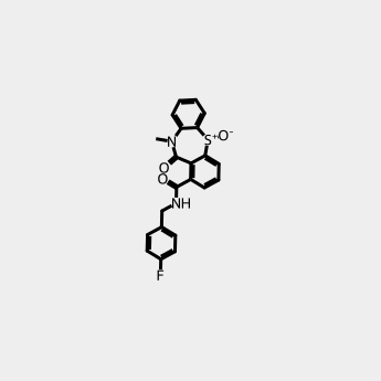 CN1C(=O)c2c(C(=O)NCc3ccc(F)cc3)cccc2[S+]([O-])c2ccccc21